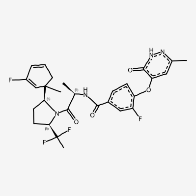 Cc1cc(Oc2ccc(C(=O)N[C@H](C)C(=O)N3[C@H](C4(C)C=C(F)C=CC4)CC[C@@H]3C(C)(F)F)cc2F)c(=O)[nH]n1